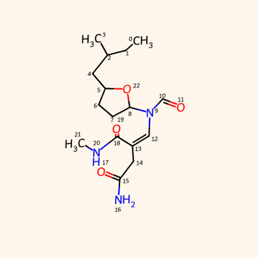 CCC(C)CC1CCC(N(C=O)/C=C(/CC(N)=O)C(=O)NC)O1